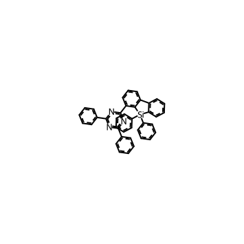 c1ccc(-c2nc(-c3ccccc3)nc(-c3cccc4c3[Si](c3ccccc3)(c3ccccc3)c3ccccc3-4)n2)cc1